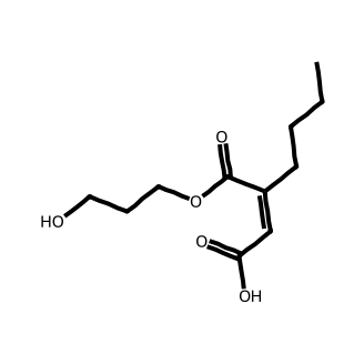 CCCCC(=CC(=O)O)C(=O)OCCCO